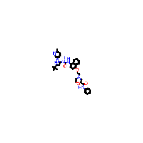 Cc1ccc(-n2nc(C(C)(C)C)cc2NC(=O)Nc2ccc(OCCN3CCOC(C(=O)Nc4ccccc4)C3)c3ccccc23)cn1